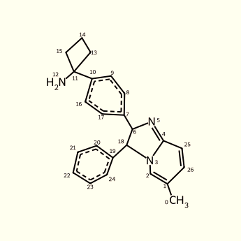 CC1=CN2C(=NC(c3ccc(C4(N)CCC4)cc3)C2c2ccccc2)C=C1